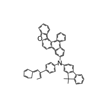 C/C=C(\C=C1\C=CC=CC1)c1ccc(N(c2ccc3c(c2)C(C)(C)c2ccccc2-3)c2ccc3c4ccccc4c4c(ccc5oc6ccccc6c54)c3c2)cc1